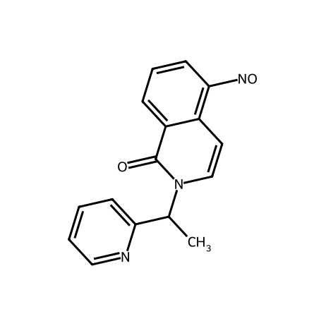 CC(c1ccccn1)n1ccc2c(N=O)cccc2c1=O